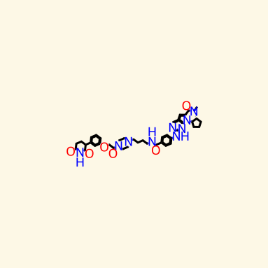 CN(C)C(=O)c1cc2cnc(Nc3ccc(C(=O)NCCCCN4CCN(C(=O)COc5cccc(C6CCC(=O)NC6=O)c5)CC4)cc3)nc2n1C1CCCC1